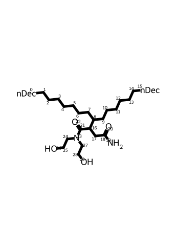 CCCCCCCCCCCCCCCCCC(CCCCCCCCCCCCCCCC)C(CC(N)=O)C(=O)N(CCO)CCO